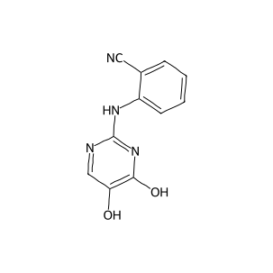 N#Cc1ccccc1Nc1ncc(O)c(O)n1